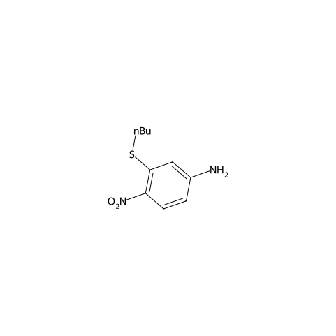 CCCCSc1cc(N)ccc1[N+](=O)[O-]